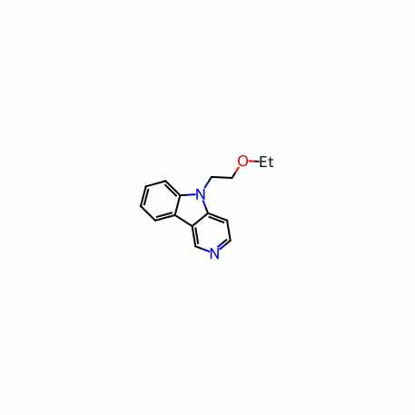 CCOCCn1c2ccccc2c2cnccc21